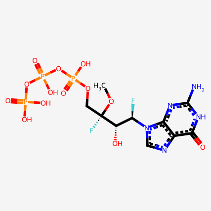 CO[C@](F)(COP(=O)(O)OP(=O)(O)OP(=O)(O)O)[C@@H](O)[C@@H](F)n1cnc2c(=O)[nH]c(N)nc21